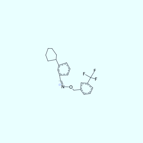 FC(F)(F)c1cccc(CO/N=[C]\c2cccc(C3CCCCC3)c2)c1